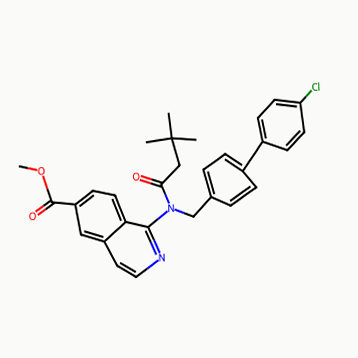 COC(=O)c1ccc2c(N(Cc3ccc(-c4ccc(Cl)cc4)cc3)C(=O)CC(C)(C)C)nccc2c1